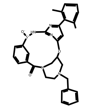 Cc1cccc(C)c1-c1cc2nc(n1)N[S+]([O-])c1cccc(c1)C(=O)N1CCN(Cc3ccccc3)CC(C1)O2